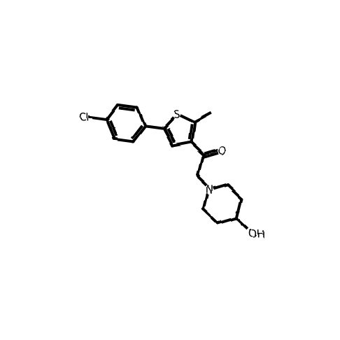 Cc1sc(-c2ccc(Cl)cc2)cc1C(=O)CN1CCC(O)CC1